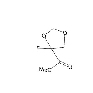 COC(=O)C1(F)COCO1